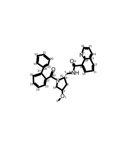 COC1C[C@@H](CNC(=O)c2cccc3cccnc23)N(C(=O)c2ccccc2-c2ccccc2)C1